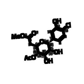 COC(=O)C[C@H]1O[C@H](c2ccc(Cl)c(O)c2)[C@@H](O)[C@@H](O)[C@@H]1OC(C)=O